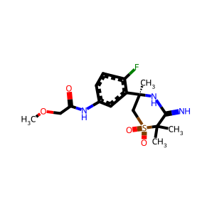 COCC(=O)Nc1ccc(F)c([C@]2(C)CS(=O)(=O)C(C)(C)C(=N)N2)c1